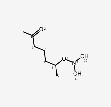 CC(=O)CCC[C@H](C)ON(O)O